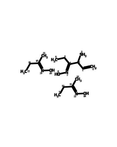 C=CC([SiH3])C(CC)=NO.CCC(C)=NO.CCC(C)=NO